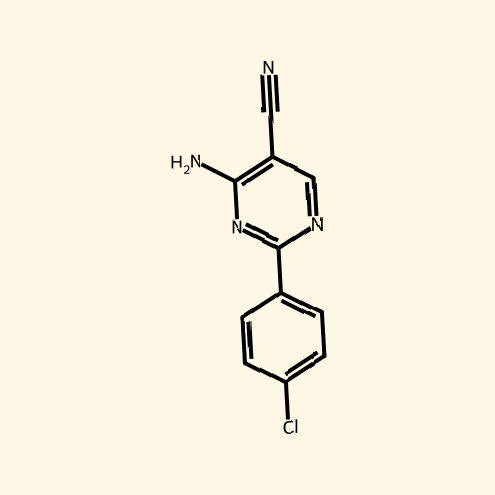 N#Cc1cnc(-c2ccc(Cl)cc2)nc1N